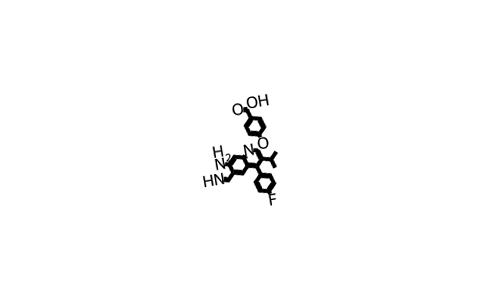 CC(C)c1c(Oc2ccc(C(=O)O)cc2)nc2cc(N)c(C=N)cc2c1-c1ccc(F)cc1